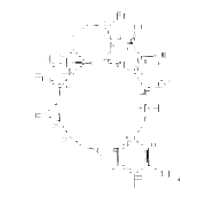 CC[C@H]1COC[C@@H]2c3nc(c(O)c(=O)n31)C(=O)NCc1cc(C)c(F)cc1OCCC1CC1C(=O)N2C